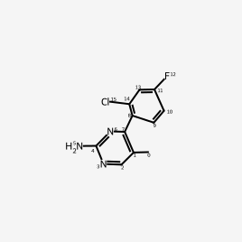 Cc1cnc(N)nc1-c1ccc(F)cc1Cl